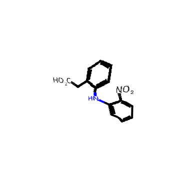 O=C(O)Cc1ccccc1Nc1ccccc1[N+](=O)[O-]